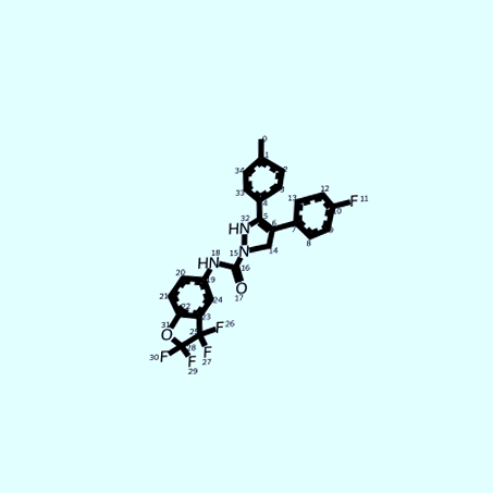 Cc1ccc(C2=C(c3ccc(F)cc3)CN(C(=O)Nc3ccc4c(c3)C(F)(F)C(F)(F)O4)N2)cc1